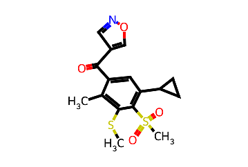 CSc1c(C)c(C(=O)c2cnoc2)cc(C2CC2)c1S(C)(=O)=O